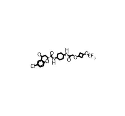 O=C(COC1CC(OC(F)(F)F)C1)NC1CCC(NC(=O)[C@H]2CC(=O)c3cc(Cl)ccc3O2)CC1